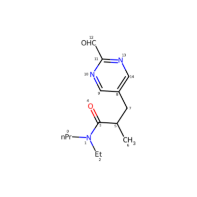 CCCN(CC)C(=O)C(C)Cc1cnc(C=O)nc1